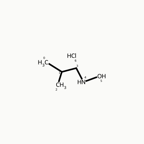 CC(C)CNO.Cl